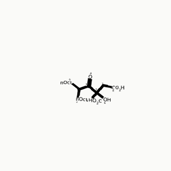 CCCCCCCCC(CCCCCCCC)C(=O)C(O)(CC(=O)O)C(=O)O